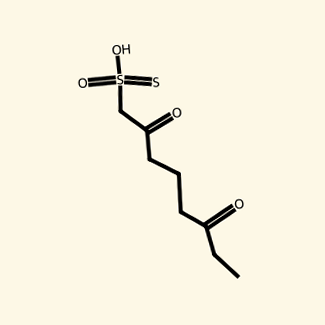 CCC(=O)CCCC(=O)CS(=O)(O)=S